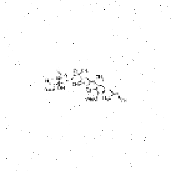 C#C/C=C(\C)Cc1cc(OC)c(Cl)c(N(C)C(=O)C[C@H](O)C2(C)O[C@H]2[C@H](C)[C@@H]2C[C@](O)([C@@H](C)OC)NC(=O)O2)c1